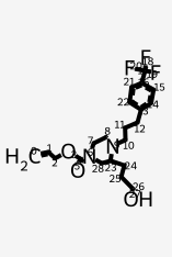 C=CCOC(=O)N1CCN(CCCc2ccc(C(F)(F)F)cc2)C(CCCO)C1